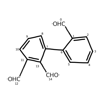 O=[C]c1ccccc1-c1cccc([C]=O)c1[C]=O